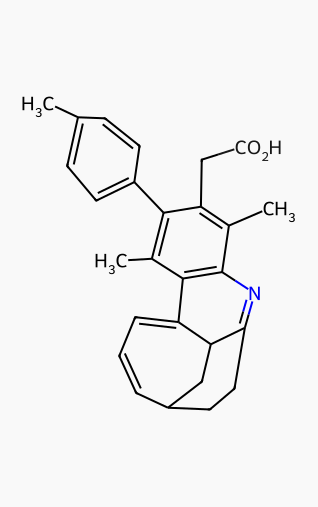 Cc1ccc(-c2c(C)c3c(c(C)c2CC(=O)O)N=C2CCC4C=CC=C3C2C4)cc1